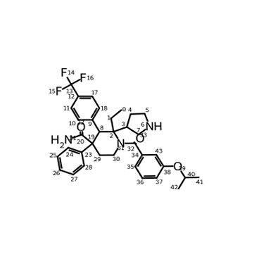 CCC1(C2CCNC2)C(c2ccc(C(F)(F)F)cc2)C(C(N)=O)(c2ccccc2)CCN1C(=O)c1cccc(OC(C)C)c1